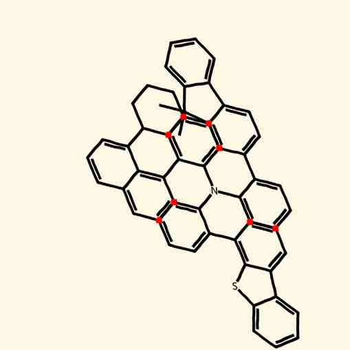 CC1(C)c2ccccc2-c2ccc(-c3ccccc3N(c3ccccc3-c3cccc4c3sc3ccccc34)c3ccccc3-c3cccc4cccc(C5CCCCC5)c34)cc21